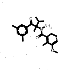 COC1=CCCC(C(=O)N(N)C(C)(C(=O)c2cc(C)cc(C)c2)C(C)C)=C1C